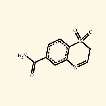 NC(=O)c1ccc2c(c1)N=CCS2(=O)=O